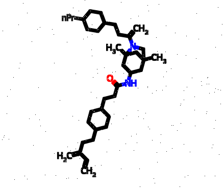 C=CC(=C)CCC1CCC(CCC(=O)NC2CC3(C)CN(C(=C)CCC4CCC(CCC)CC4)C(C)(C2)C3)CC1